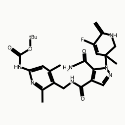 C=C1NCC(C)(n2ncc(C(=O)NCc3c(C)cc(NC(=O)OC(C)(C)C)nc3C)c2C(N)=O)C=C1F